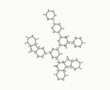 c1ccc(-c2ccc(-c3cc(-c4cc(-c5ccc6sc7ccccc7c6c5)cc(-c5nc6ccccc6c6c5oc5ccccc56)c4)nc(-c4ccccc4)n3)cc2)cc1